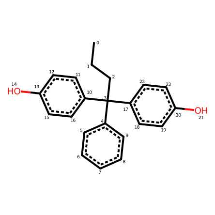 CCCC(c1ccccc1)(c1ccc(O)cc1)c1ccc(O)cc1